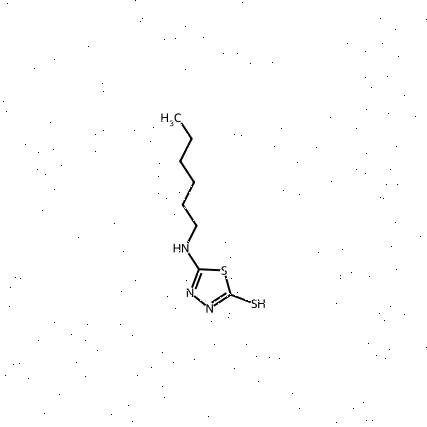 CCCCCCNc1nnc(S)s1